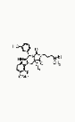 CCN(C)CCCN1C(=O)N2[C@H](c3cccc(O)c3)c3[nH]c4ccc(OC)c(F)c4c3C[C@@]2(C)C1=O